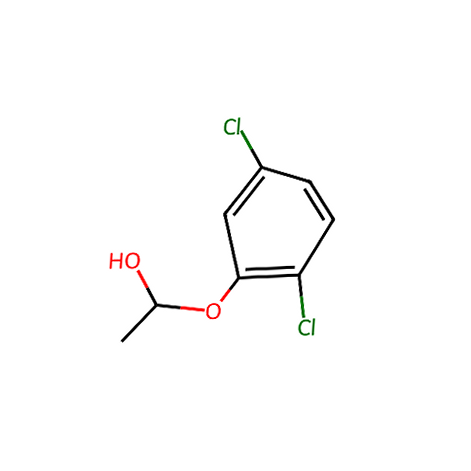 CC(O)Oc1cc(Cl)ccc1Cl